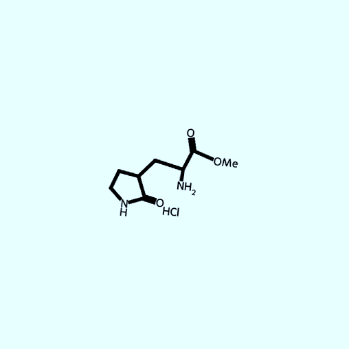 COC(=O)C(N)CC1CCNC1=O.Cl